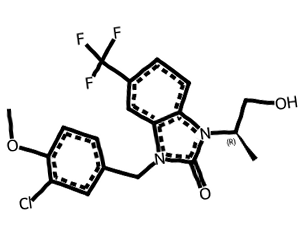 COc1ccc(Cn2c(=O)n([C@H](C)CO)c3ccc(C(F)(F)F)cc32)cc1Cl